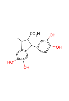 CC1c2cc(O)c(O)cc2C(c2ccc(O)c(O)c2)C1C(=O)O